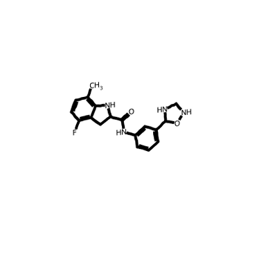 Cc1ccc(F)c2c1NC(C(=O)Nc1cccc(C3NCNO3)c1)C2